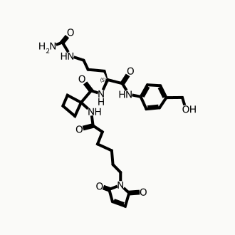 NC(=O)NCCC[C@H](NC(=O)C1(NC(=O)CCCCCN2C(=O)C=CC2=O)CCC1)C(=O)Nc1ccc(CO)cc1